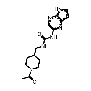 CC(=O)N1CCC(CNC(=O)Nc2cnc3[nH]ccc3n2)CC1